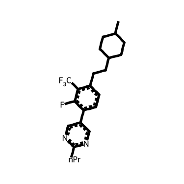 CCCc1ncc(-c2ccc(CCC3CCC(C)CC3)c(C(F)(F)F)c2F)cn1